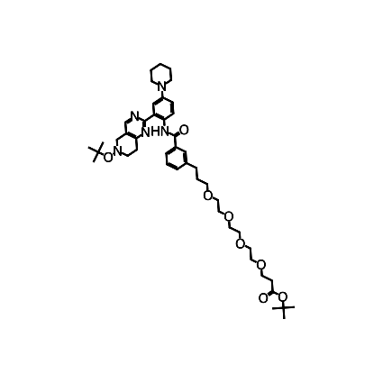 CC(C)(C)OC(=O)CCOCCOCCOCCOCCCc1cccc(C(=O)Nc2ccc(N3CCCCC3)cc2-c2ncc3c(n2)CCN(OC(C)(C)C)C3)c1